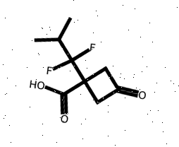 CC(C)C(F)(F)C1(C(=O)O)CC(=O)C1